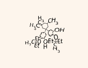 CCC(C)(CC)Oc1ccc(C2(c3ccc(OC(C)(CC)CC)c(O)c3)CC(C)CC(C)(C)C2)cc1O